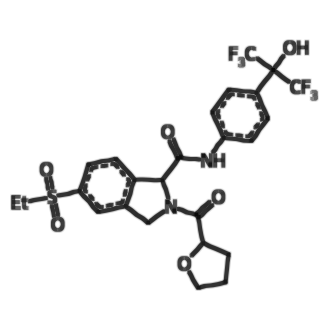 CCS(=O)(=O)c1ccc2c(c1)CN(C(=O)C1CCCO1)C2C(=O)Nc1ccc(C(O)(C(F)(F)F)C(F)(F)F)cc1